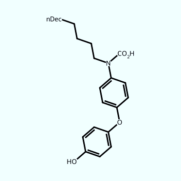 CCCCCCCCCCCCCCN(C(=O)O)c1ccc(Oc2ccc(O)cc2)cc1